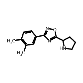 Cc1ccc(-c2noc(C3CCCN3)n2)cc1C